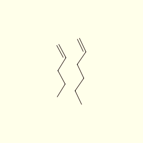 C=CCCC.C=CCCCC